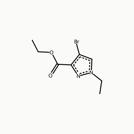 CCOC(=O)c1nn(CC)cc1Br